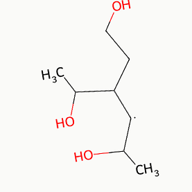 CC(O)[CH]C(CCO)C(C)O